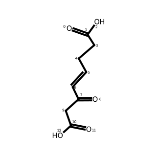 O=C(O)CC/C=C/C(=O)CC(=O)O